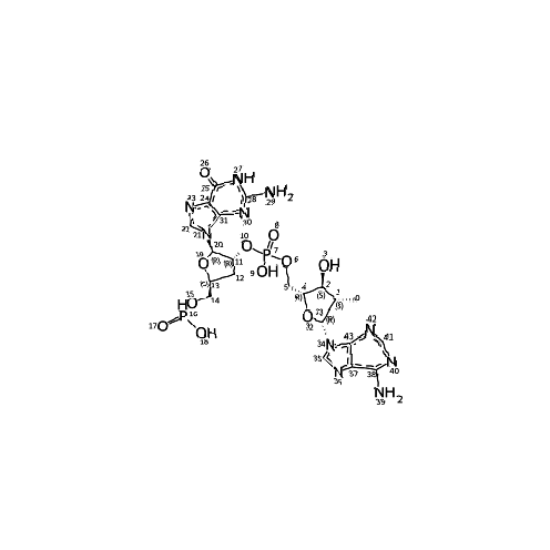 C[C@H]1[C@H](O)[C@@H](COP(=O)(O)O[C@@H]2C[C@@H](CO[PH](=O)O)O[C@H]2n2cnc3c(=O)[nH]c(N)nc32)O[C@H]1n1cnc2c(N)ncnc21